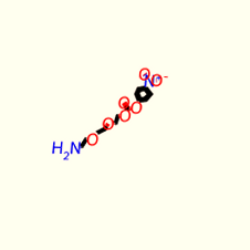 NCCOCCOCCOC(=O)Oc1ccc([N+](=O)[O-])cc1